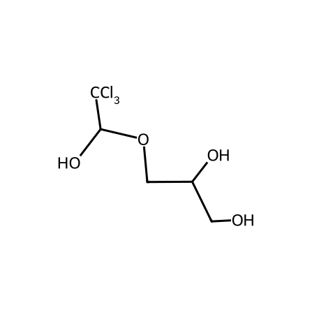 OCC(O)COC(O)C(Cl)(Cl)Cl